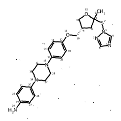 CC1(Sn2cncn2)C[C@H](COc2ccc(N3CCN(c4ccc(N)cc4)CC3)cc2)CO1